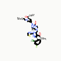 COCCN1C[C@@H](N2C[C@@H]3CN(CC4=C(C(=O)OC)[C@H](c5ccc(F)cc5Cl)N=C(c5nccs5)N4)CCN3C2=O)C[C@@H]1C(=O)OC